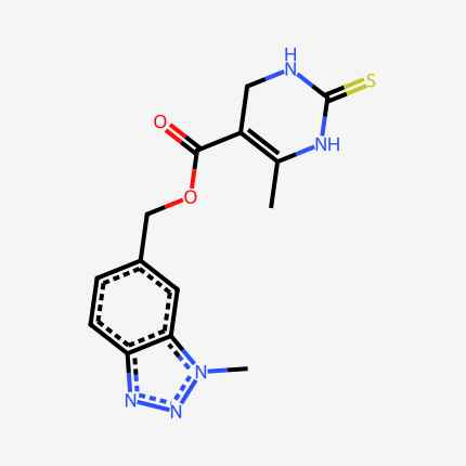 CC1=C(C(=O)OCc2ccc3nnn(C)c3c2)CNC(=S)N1